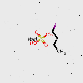 CCCCI.O=S(=O)(O)O.[NaH]